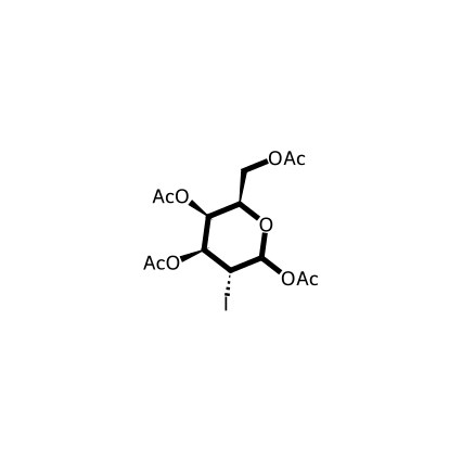 CC(=O)OC[C@H]1OC(OC(C)=O)[C@H](I)[C@@H](OC(C)=O)[C@H]1OC(C)=O